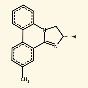 Cc1ccc2c(c1)C1=N[C@@H](I)CN1c1ccccc1-2